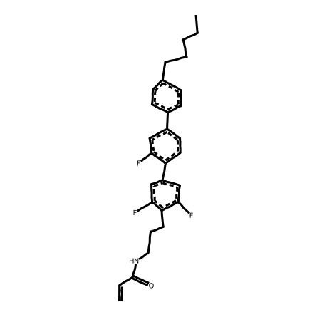 C=CC(=O)NCCCc1c(F)cc(-c2ccc(-c3ccc(CCCCC)cc3)cc2F)cc1F